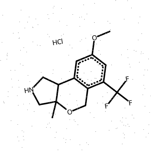 COc1cc2c(c(C(F)(F)F)c1)COC1(C)CNCC21.Cl